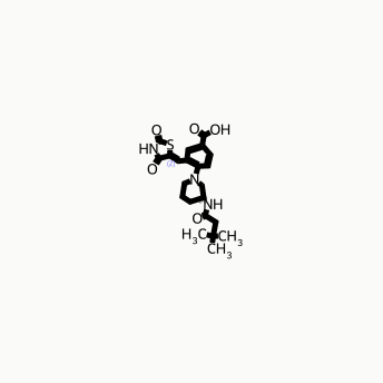 CC(C)(C)CC(=O)N[C@@H]1CCCN(c2ccc(C(=O)O)cc2/C=C2\SC(=O)NC2=O)C1